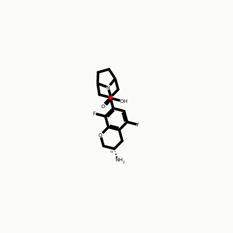 N[C@@H]1COc2c(F)c(N3CC4CCC(C3)N4C(=O)O)cc(F)c2C1